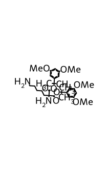 COc1cc(OC)cc(C(C)(C)OC(=O)C(N)(CCCCCN)C(=O)OC(C)(C)c2cc(OC)cc(OC)c2)c1